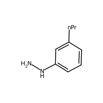 CCCc1cccc(NN)c1